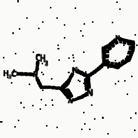 CN(C)CC1=NN=C(c2cccnc2)[N]1